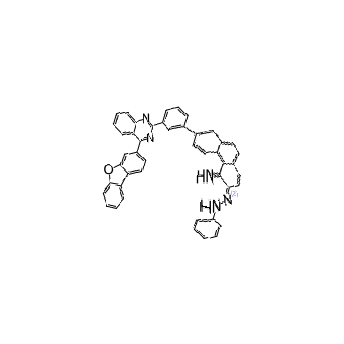 N=C1/C(=N\Nc2ccccc2)C=Cc2ccc3cc(-c4cccc(-c5nc(-c6ccc7c(c6)oc6ccccc67)c6ccccc6n5)c4)ccc3c21